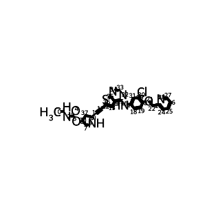 CCNC(=O)O[C@H]1CN[C@H](C#Cc2cc3c(Nc4ccc(OCc5ccccn5)c(Cl)c4)ncnc3s2)C1